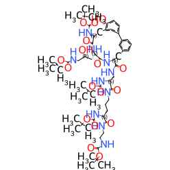 CC(C)(C)OC(=O)NCCNC(=O)[C@H](CCCNC(=O)[C@H](CNC(=O)[C@@H]1Cc2cccc(c2)-c2ccc(O)c(c2)C[C@H](NC(=O)OC(C)(C)C)C(=O)N[C@@H](C[C@@H](O)CNC(=O)OC(C)(C)C)C(=O)N1)NC(=O)OC(C)(C)C)NC(=O)OC(C)(C)C